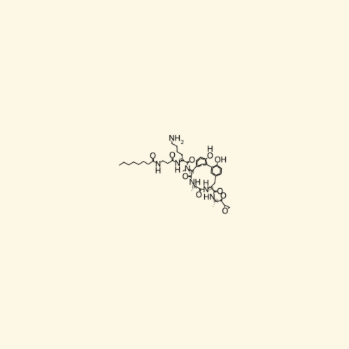 CCCCCCCC(=O)NCCC(=O)N[C@@H](CCCCN)C(=O)N(C)[C@@H]1C(=O)N[C@@H](C)C(=O)N[C@H](C(=O)N[C@@H](C)C(=O)C2CO2)Cc2ccc(O)c(c2)-c2cc1ccc2O